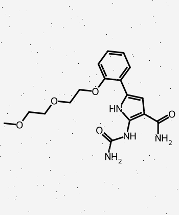 COCCOCCOc1ccccc1-c1cc(C(N)=O)c(NC(N)=O)[nH]1